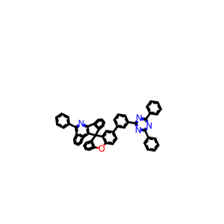 c1ccc(-c2nc(-c3ccccc3)nc(-c3cccc(-c4ccc5c(c4)C4(c6ccccc6O5)c5ccccc5-c5nc(-c6ccccc6)c6ccccc6c54)c3)n2)cc1